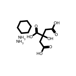 C1CCCCC1.N.N.O=C(O)CC(O)(CC(=O)O)C(=O)O